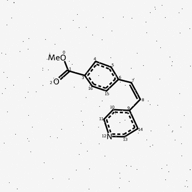 COC(=O)c1ccc(/C=C\c2ccncc2)cc1